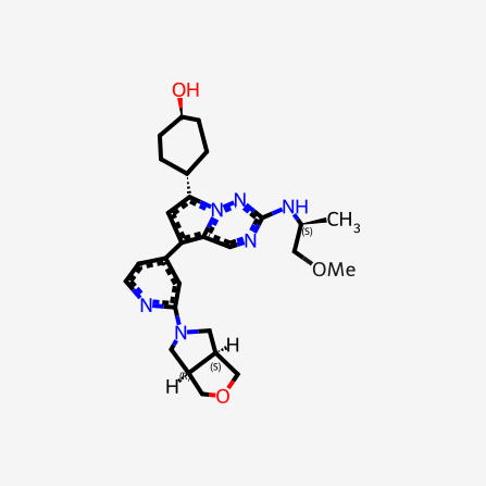 COC[C@H](C)Nc1ncc2c(-c3ccnc(N4C[C@H]5COC[C@H]5C4)c3)cc([C@H]3CC[C@H](O)CC3)n2n1